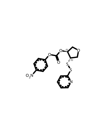 O=C(Oc1ccc([N+](=O)[O-])cc1)O[C@H]1COC[C@@H]1SSc1ccccn1